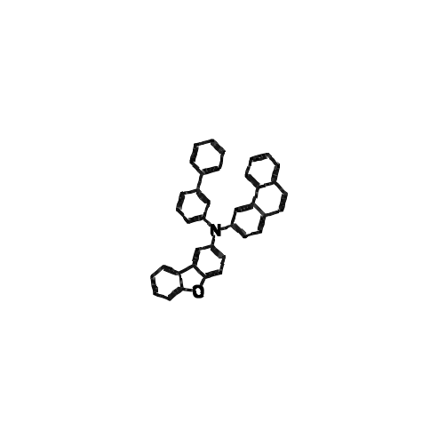 c1ccc(-c2cccc(N(c3ccc4ccc5ccccc5c4c3)c3ccc4oc5ccccc5c4c3)c2)cc1